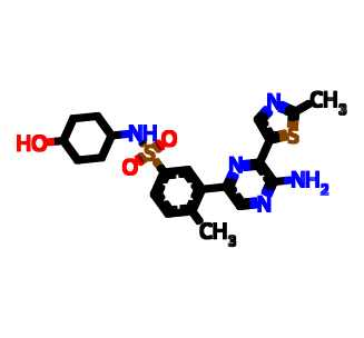 Cc1ncc(-c2nc(-c3cc(S(=O)(=O)NC4CCC(O)CC4)ccc3C)cnc2N)s1